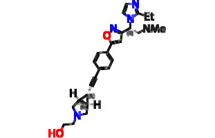 CCc1nccn1[C@H](CNC)c1cc(-c2ccc(C#C[C@@H]3[C@H]4CN(CCO)C[C@@H]34)cc2)on1